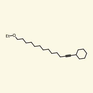 CCOCCCCCCCCCCCC#CC1CCCCC1